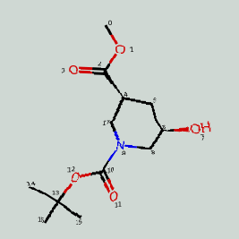 COC(=O)[C@H]1C[C@@H](O)CN(C(=O)OC(C)(C)C)C1